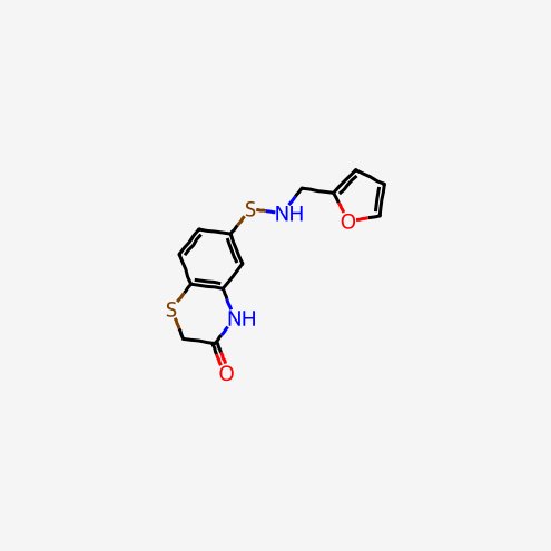 O=C1CSc2ccc(SNCc3ccco3)cc2N1